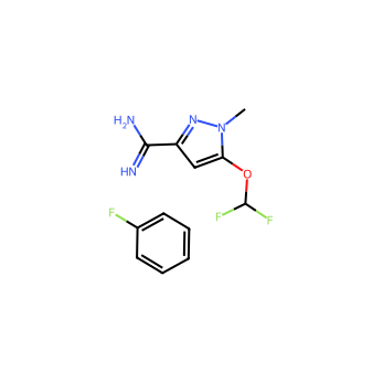 Cn1nc(C(=N)N)cc1OC(F)F.Fc1ccccc1